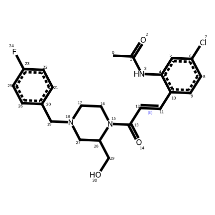 CC(=O)Nc1cc(Cl)ccc1/C=C/C(=O)N1CCN(Cc2ccc(F)cc2)CC1CO